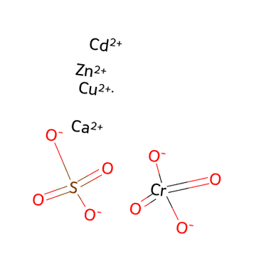 O=S(=O)([O-])[O-].[Ca+2].[Cd+2].[Cu+2].[O]=[Cr](=[O])([O-])[O-].[Zn+2]